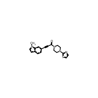 Cn1ccc2ccc(C#CC(=O)N3CCN(c4nccs4)CC3)cc21